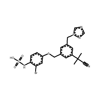 CC(C)(C#N)c1cc(CSc2ccc(NS(=O)(=O)O)c(Br)c2)cc(Cn2cncn2)c1